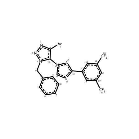 CC(=O)c1nnn(Cc2ccccc2)c1-n1cnc(-c2cc(C(F)(F)F)cc(C(F)(F)F)c2)n1